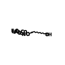 CCOC(=O)C(=O)N(Cc1ccc(C#CCCCCCCCCCO)cc1)Cc1ccc(C(F)(F)F)cc1